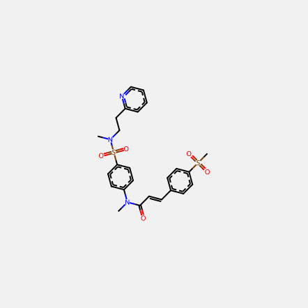 CN(C(=O)C=Cc1ccc(S(C)(=O)=O)cc1)c1ccc(S(=O)(=O)N(C)CCc2ccccn2)cc1